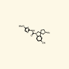 COc1cnc(NC(=O)N2CC3(CCN(C(C)=O)C3)c3cc(C#N)ccc32)s1